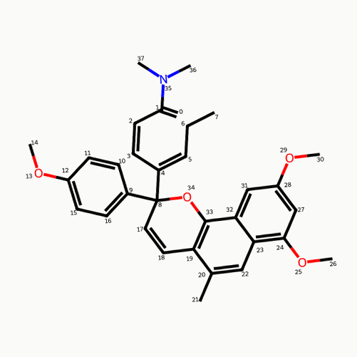 C=C(/C=C\C(=C/CC)C1(c2ccc(OC)cc2)C=Cc2c(C)cc3c(OC)cc(OC)cc3c2O1)N(C)C